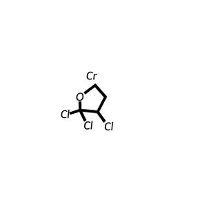 ClC1CCOC1(Cl)Cl.[Cr]